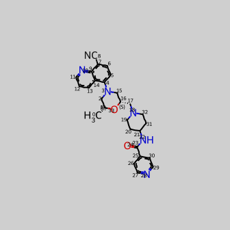 C[C@@H]1CN(c2ccc(C#N)c3ncccc23)C[C@H](CN2CCC(NC(=O)c3ccncc3)CC2)O1